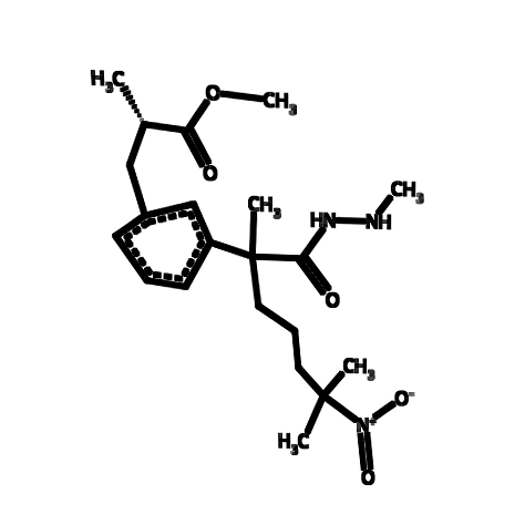 CNNC(=O)C(C)(CCCC(C)(C)[N+](=O)[O-])c1cccc(C[C@H](C)C(=O)OC)c1